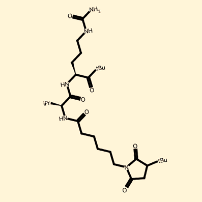 CC(C)[C@H](NC(=O)CCCCCN1C(=O)CC(C(C)(C)C)C1=O)C(=O)N[C@@H](CCCNC(N)=O)C(=O)C(C)(C)C